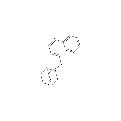 c1ccc2c(CC3CC4CCN3CC4)ccnc2c1